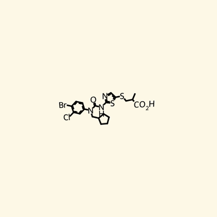 CC(CSc1cnc(NC(=O)N(CC2CCCC2)c2ccc(Br)c(Cl)c2)s1)C(=O)O